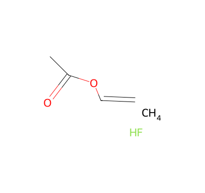 C.C=COC(C)=O.F